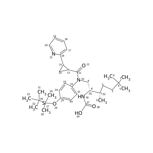 C[C@@H](CCC(C)(C)C)[C@@H](CN(C(=O)C1CC1c1ccccn1)c1ccc(O[Si](C)(C)C(C)(C)C)cc1)NC(=O)O